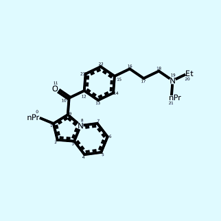 CCCc1cc2ccccn2c1C(=O)c1ccc(CCCN(CC)CCC)cc1